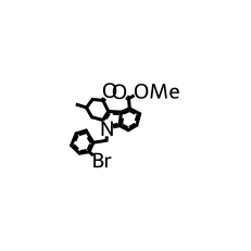 COC(=O)c1cccc2c1c1c(n2Cc2ccccc2Br)CC(C)CC1=O